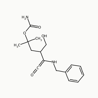 CC(C)(CC(CO)C(=C=O)NCc1ccccc1)OC(N)=O